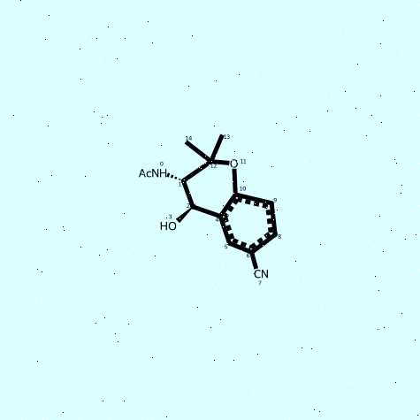 CC(=O)N[C@H]1[C@H](O)c2cc(C#N)ccc2OC1(C)C